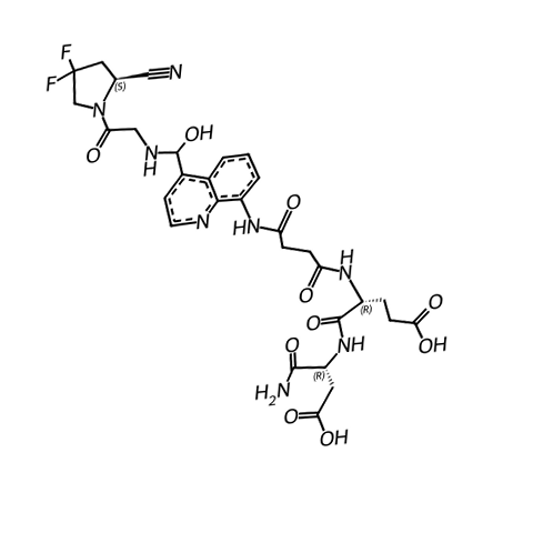 N#C[C@@H]1CC(F)(F)CN1C(=O)CNC(O)c1ccnc2c(NC(=O)CCC(=O)N[C@H](CCC(=O)O)C(=O)N[C@H](CC(=O)O)C(N)=O)cccc12